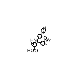 Cc1ccc(-c2c(-c3ccc(N4CCN(C)CC4)cc3)[nH]c3ncc(C(=O)O)cc23)cc1[N+](=O)[O-]